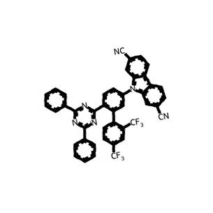 N#Cc1ccc2c3ccc(C#N)cc3n(-c3ccc(-c4nc(-c5ccccc5)nc(-c5ccccc5)n4)c(-c4ccc(C(F)(F)F)cc4C(F)(F)F)c3)c2c1